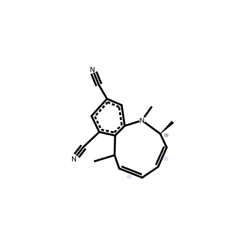 CC1/C=C\C=C/[C@H](C)N(C)c2cc(C#N)cc(C#N)c21